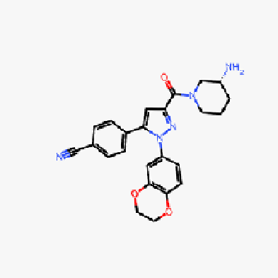 N#Cc1ccc(-c2cc(C(=O)N3CCC[C@@H](N)C3)nn2-c2ccc3c(c2)OCCO3)cc1